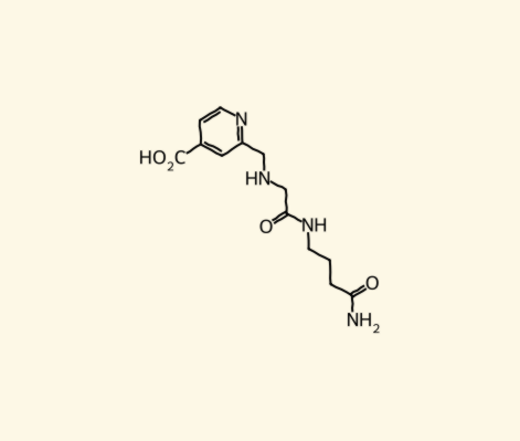 NC(=O)CCCNC(=O)CNCc1cc(C(=O)O)ccn1